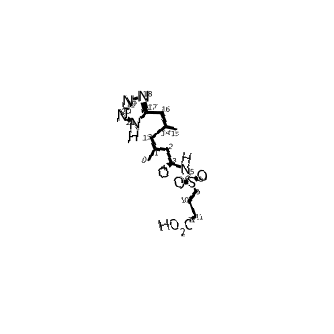 CC(CC(=O)NS(=O)(=O)CCCC(=O)O)CC(C)Cc1nnn[nH]1